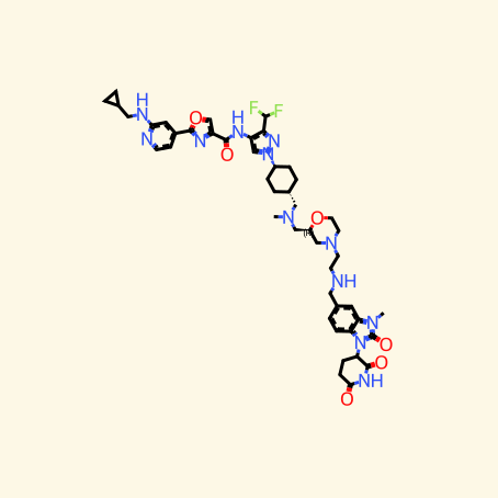 CN(C[C@@H]1CN(CCNCc2ccc3c(c2)n(C)c(=O)n3C2CCC(=O)NC2=O)CCO1)C[C@H]1CC[C@H](n2cc(NC(=O)c3coc(-c4ccnc(NCC5CC5)c4)n3)c(C(F)F)n2)CC1